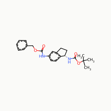 CC(C)(C)OC(=O)N[C@H]1CCc2cc(NC(=O)OCc3ccccc3)ccc21